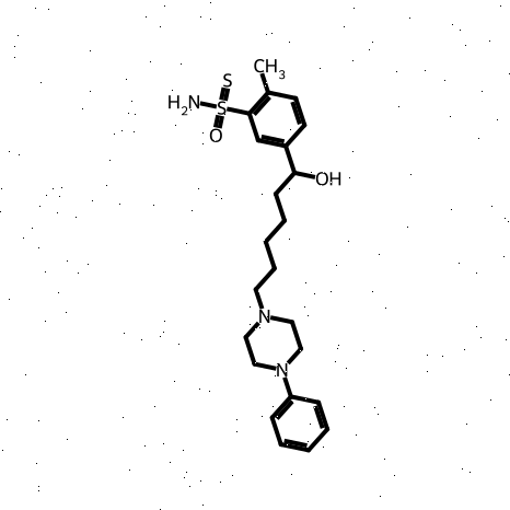 Cc1ccc(C(O)CCCCCN2CCN(c3ccccc3)CC2)cc1S(N)(=O)=S